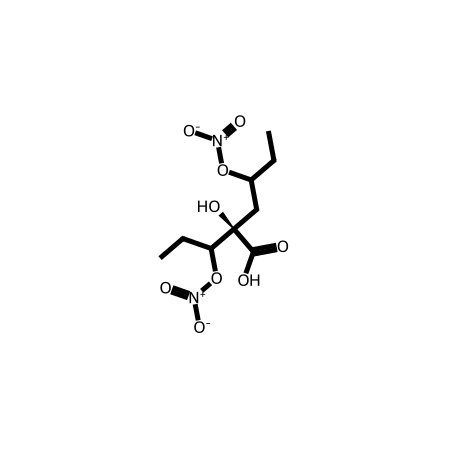 CCC(C[C@](O)(C(=O)O)C(CC)O[N+](=O)[O-])O[N+](=O)[O-]